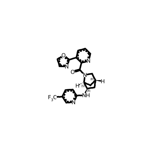 O=C(c1ncccc1-c1ncco1)N1C[C@@H]2C[C@@H](Nc3ccc(C(F)(F)F)cn3)[C@@H]1C2